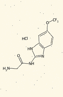 Cl.NCC(=O)Nc1nc2ccc(OC(F)(F)F)cc2[nH]1